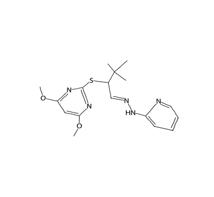 COc1cc(OC)nc(SC(C=NNc2ccccn2)C(C)(C)C)n1